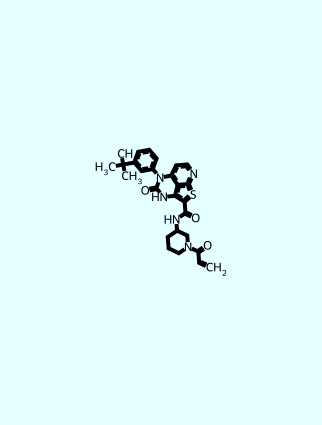 C=CC(=O)N1CCCC(NC(=O)c2sc3nccc4c3c2NC(=O)N4c2cccc(C(C)(C)C)c2)C1